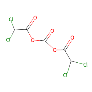 O=C(OC(=O)C(Cl)Cl)OC(=O)C(Cl)Cl